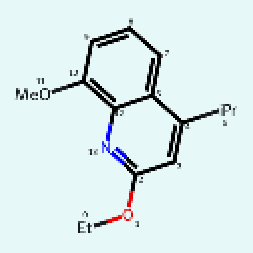 CCOc1cc(C(C)C)c2cccc(OC)c2n1